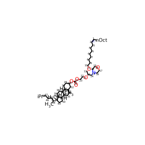 CCCCCCCC/C=C\CCCCCCCCOCC(CN1CCOCC1)OCCOC(=O)OC1CCC2(C)C(=CC[C@@H]3[C@H]2CC[C@]2(C)[C@@H](C(C)CCCC(C)C)CC[C@@H]32)C1